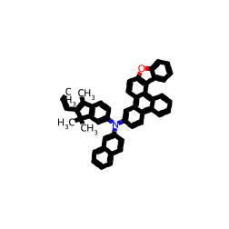 C/C=C\C1=C(C)c2ccc(N(c3ccc4ccccc4c3)c3ccc4c5ccccc5c5c(ccc6oc7ccccc7c65)c4c3)cc2C1(C)C